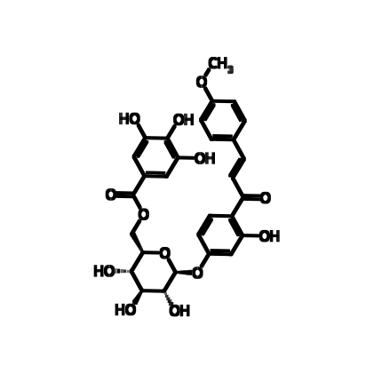 COc1ccc(/C=C/C(=O)c2ccc(O[C@@H]3O[C@H](COC(=O)c4cc(O)c(O)c(O)c4)[C@@H](O)[C@H](O)[C@H]3O)cc2O)cc1